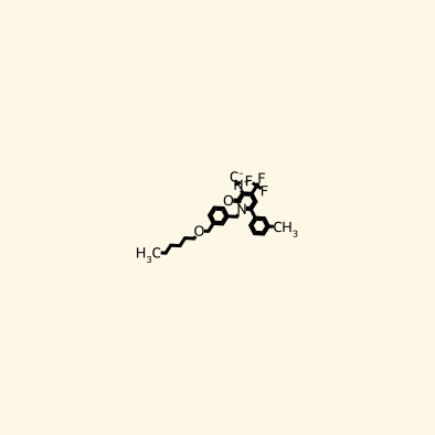 [C-]#[N+]c1c(C(F)(F)F)cc(-c2cccc(C)c2)n(Cc2cccc(COCCCCCC)c2)c1=O